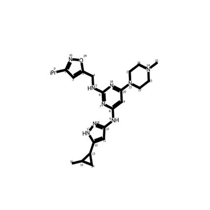 CC(C)c1cc(CNc2nc(Nc3cc(C4CC4C)[nH]n3)cc(N3CCN(C)CC3)n2)on1